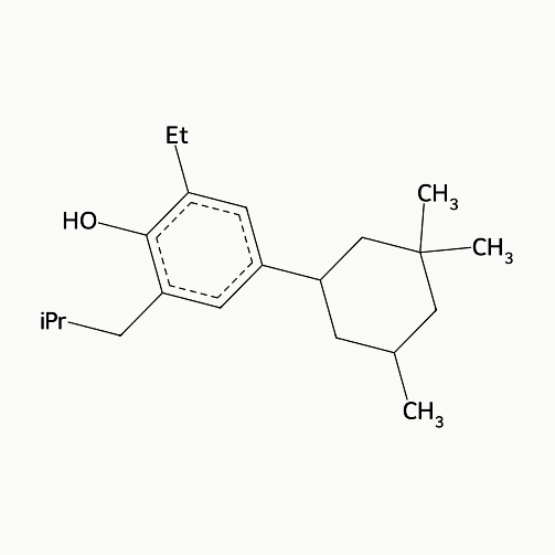 CCc1cc(C2CC(C)CC(C)(C)C2)cc(CC(C)C)c1O